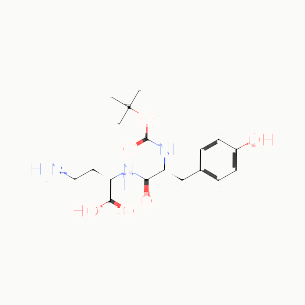 CC(C)(C)OC(=O)N[C@@H](Cc1ccc(O)cc1)C(=O)N[C@H](CCN)C(=O)O